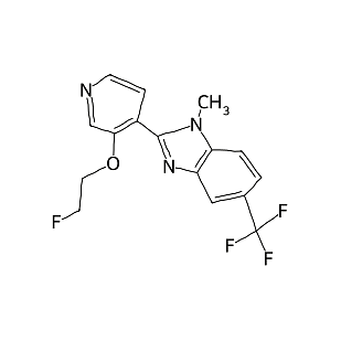 Cn1c(-c2ccncc2OCCF)nc2cc(C(F)(F)F)ccc21